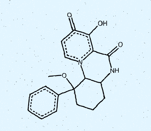 COC1(c2ccccc2)CCCC2NC(=O)c3c(O)c(=O)ccn3C21